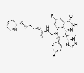 Cn1ncnc1[C@H]1c2n[nH]c(=O)c3cc(F)cc(c23)N(CNC(=O)OCCSSc2ccccn2)[C@@H]1c1ccc(F)cc1